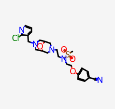 CS(=O)(=O)N(CCOc1ccc(C#N)cc1)CCN1CC2CN(Cc3cccnc3Cl)CC(C1)O2